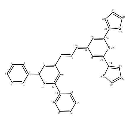 C(=CC1=CC(c2ccccc2)SC(c2ccccc2)=C1)C=C1C=C(c2cccs2)SC(c2cccs2)=C1